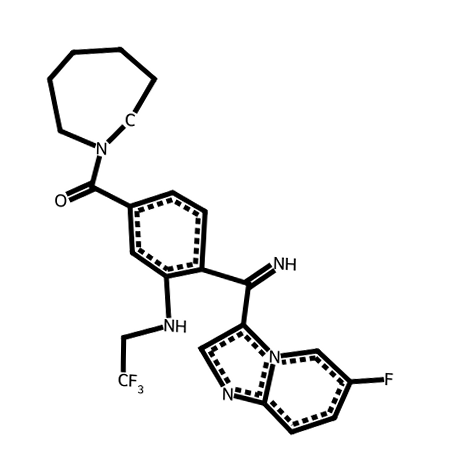 N=C(c1ccc(C(=O)N2CCCCCC2)cc1NCC(F)(F)F)c1cnc2ccc(F)cn12